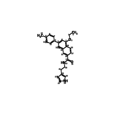 CCOc1cc(-c2ccc(C)nc2)nc2cc(C(=O)NCCc3c[nH]nn3)ccc12